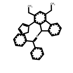 CCc1cc(CC)c2c(c1C1=CC=CC1)[CH]([Zr]=[C](c1ccccc1)c1ccccc1)c1ccccc1-2